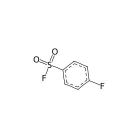 O=S(=O)(F)c1ccc(F)cc1